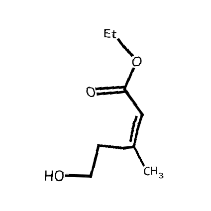 CCOC(=O)C=C(C)CCO